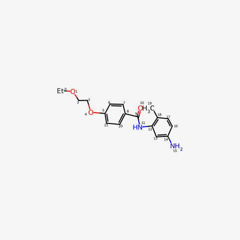 CCOCCOc1ccc(C(=O)Nc2cc(N)ccc2C)cc1